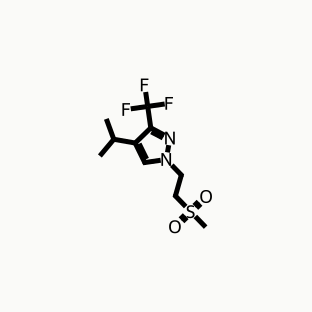 CC(C)c1cn(CCS(C)(=O)=O)nc1C(F)(F)F